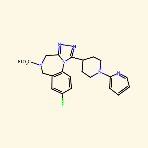 CCOC(=O)N1Cc2cc(Cl)ccc2-n2c(nnc2C2CCN(c3ccccn3)CC2)C1